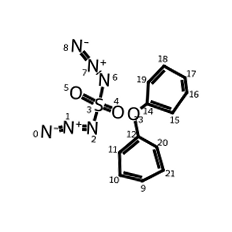 [N-]=[N+]=NS(=O)(=O)N=[N+]=[N-].c1ccc(Oc2ccccc2)cc1